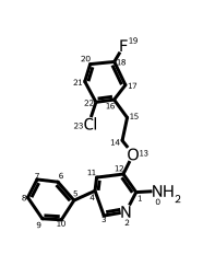 Nc1ncc(-c2ccccc2)cc1OCCc1cc(F)ccc1Cl